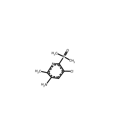 Cc1nc(P(C)(C)=O)c(Cl)cc1N